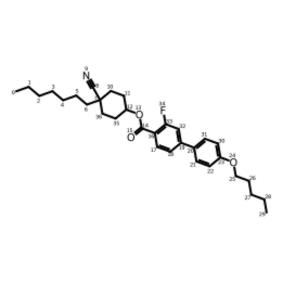 CCCCCCCC1(C#N)CCC(OC(=O)c2ccc(-c3ccc(OCCCCC)cc3)cc2F)CC1